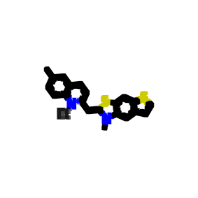 CC[n+]1c(/C=C2\Sc3cc4sccc4cc3N2C)ccc2cc(C)ccc21